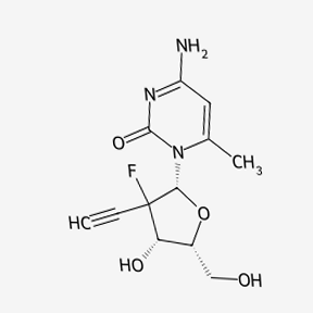 C#CC1(F)[C@@H](O)[C@@H](CO)O[C@H]1n1c(C)cc(N)nc1=O